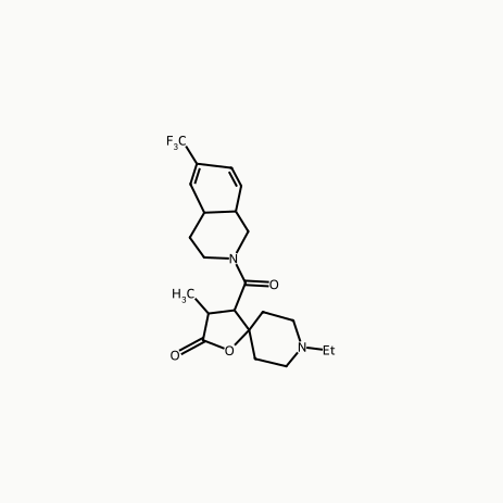 CCN1CCC2(CC1)OC(=O)C(C)C2C(=O)N1CCC2C=C(C(F)(F)F)C=CC2C1